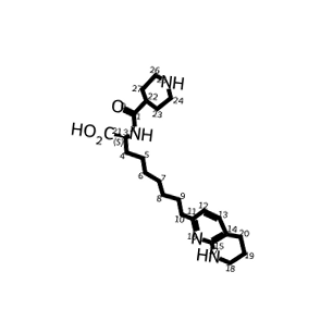 O=C(N[C@@H](CCCCCCCc1ccc2c(n1)NCCC2)C(=O)O)C1CCNCC1